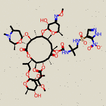 CON=C1C[C@@H](C)O[C@@H](O[C@@H]2[C@@H](C)[C@H](O[C@H]3CC(C)N(C)C[C@H](C)O3)[C@@H](C)C(=O)O[C@H](C(C)CO[C@@H]3O[C@H](C)[C@@H](O)[C@@H](OC)[C@H]3OC)[C@H](C)[C@@H](OC(=O)CC(C)C)[C@@H](C)C(=O)[C@@](C)(OC(=O)NC(C)(C)CNS(=O)(=O)c3cn[nH]c3[N+](=O)[O-])C[C@@H]2C)[C@@H]1O